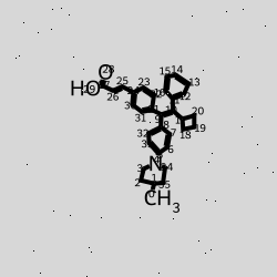 CC1CCN(c2ccc(/C(=C(/c3ccccc3)C3CCC3)c3ccc(/C=C/C(=O)O)cc3)cc2)CC1